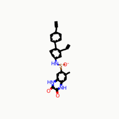 C#Cc1ccc(-c2ccc(N[S+]([O-])c3cc4[nH]c(=O)c(=O)[nH]c4cc3C)cc2C#C)cc1